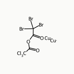 O=C(OC(=O)C(Br)(Br)Br)C(Cl)(Cl)Cl.[Cu].[Cu]